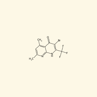 Cc1cc(C)c2c(=O)c(Br)c(C(F)(F)F)[nH]c2n1